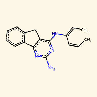 C/C=C\C(=C/C)Nc1nc(N)nc2c1Cc1ccccc1-2